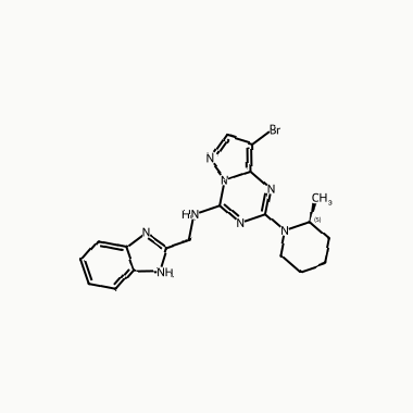 C[C@H]1CCCCN1c1nc(NCc2nc3ccccc3[nH]2)n2ncc(Br)c2n1